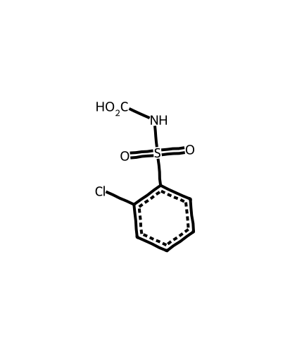 O=C(O)NS(=O)(=O)c1ccccc1Cl